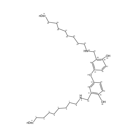 CCCCCCCCCCCCCCCCCCNCc1cc(Oc2ccc(O)c(CNCCCCCCCCCCCCCCCCCC)c2)ccc1O